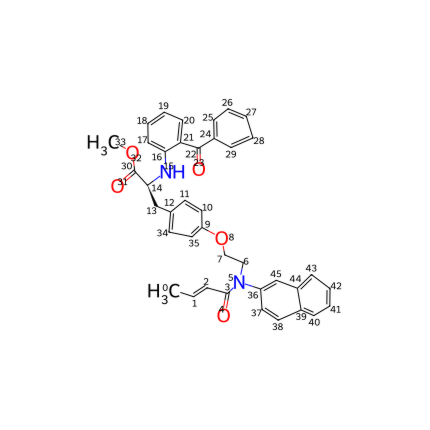 C/C=C/C(=O)N(CCOc1ccc(C[C@H](Nc2ccccc2C(=O)c2ccccc2)C(=O)OC)cc1)c1ccc2ccccc2c1